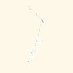 CCCCCCCC/C=C\CCCCCCCC(O)CCCNC(=O)CCNC(C)=O